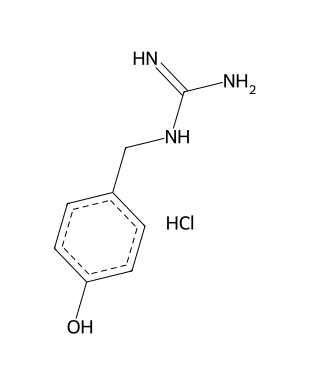 Cl.N=C(N)NCc1ccc(O)cc1